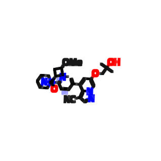 C=C(/C=C\C(=N/C)N1CC2CC(C1)N2C(=O)[C@H]1C[C@@H](OC)C1)c1cc(OCC(C)(C)O)cn2ncc(C#N)c12